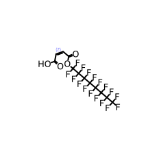 O=C(O)/C=C\C(=O)OC(F)(F)C(F)(F)C(F)(F)C(F)(F)C(F)(F)C(F)(F)C(F)(F)C(F)(F)F